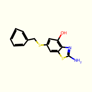 Nc1nc2c(O)cc(SCc3ccccc3)cc2s1